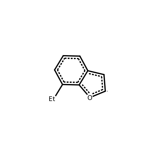 CCc1cccc2c[c]oc12